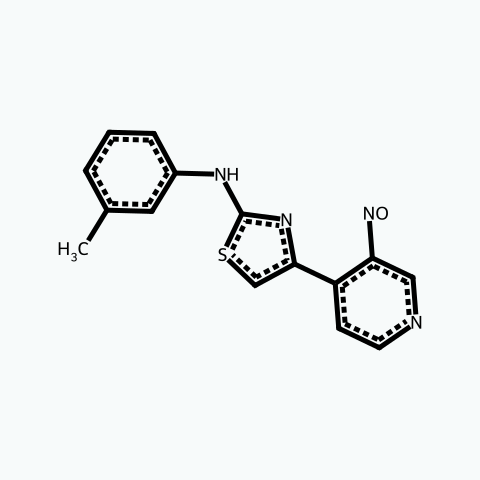 Cc1cccc(Nc2nc(-c3ccncc3N=O)cs2)c1